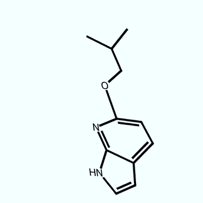 CC(C)COc1ccc2cc[nH]c2n1